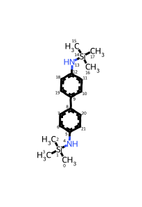 C[Si](C)(C)Nc1ccc(-c2ccc(N[Si](C)(C)C)cc2)cc1